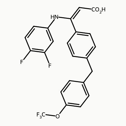 O=C(O)C=C(Nc1ccc(F)c(F)c1)c1ccc(Cc2ccc(OC(F)(F)F)cc2)cc1